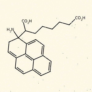 NC1(C(CCCCCC(=O)O)C(=O)O)CC=c2ccc3cccc4ccc1c2c43